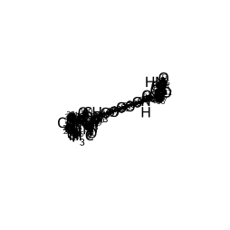 COc1nc(Nc2cc(S(C)(=O)=O)ccc2N[C@@H](c2cccc3c2OC(F)(F)O3)c2ncccc2Cl)nc(N2CCN(CCOCCOCCOCCOCCOCCNC(=O)COc3cccc4c3C(=O)N(C3CCC(=O)NC3=O)C4=O)CC2)n1